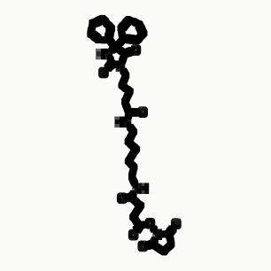 O=C(CCCCN1C(=O)NC(c2ccccc2)(c2ccccc2)C1=O)NCCCCCCNC(=O)CCC(=O)ON1C(=O)CCC1=O